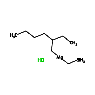 CCCCC(CC)[CH2][Mg][CH2][SiH3].Cl